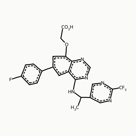 CC(Nc1ncnc2c(OCC(=O)O)cc(-c3ccc(F)cc3)cc12)c1cnc(C(F)(F)F)nc1